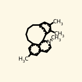 Cc1cc2c3c([n+](C)ccc3c1)-c1cc(cc(C)c1C)CCCC2